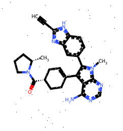 C#Cc1nc2cc(-c3c(C4=CC[C@@H](C(=O)N5CCC[C@@H]5C)CC4)c4c(N)ncnc4n3C)ccc2[nH]1